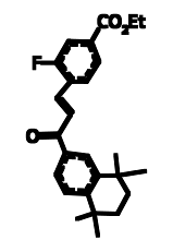 CCOC(=O)c1ccc(C=CC(=O)c2ccc3c(c2)C(C)(C)CCC3(C)C)c(F)c1